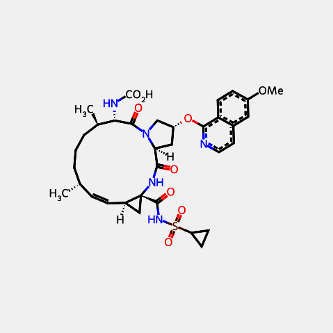 COc1ccc2c(O[C@@H]3C[C@H]4C(=O)N[C@]5(C(=O)NS(=O)(=O)C6CC6)C[C@H]5C=C[C@H](C)CCC[C@@H](C)[C@H](NC(=O)O)C(=O)N4C3)nccc2c1